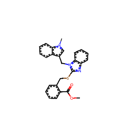 COC(=O)c1ccccc1CSc1nc2ccccc2n1Cc1cn(C)c2ccccc12